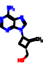 C=C1[C@H](CO)C[C@@H]1n1cnc2c(N)ncnc21